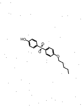 CCCCCOc1ccc(S(=O)(=O)c2ccc(O)cc2)cc1